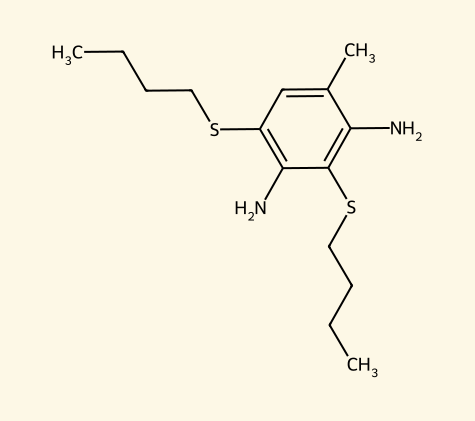 CCCCSc1cc(C)c(N)c(SCCCC)c1N